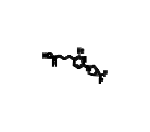 CCc1nc(N2CC3C(C2)C3(F)F)ccc1CCCNO